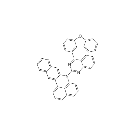 c1ccc2cc3c(cc2c1)-c1cccc2cccc(c12)N3c1nc(-c2cccc3oc4ccccc4c23)c2ccccc2n1